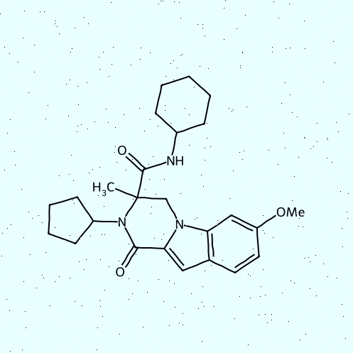 COc1ccc2cc3n(c2c1)CC(C)(C(=O)NC1CCCCC1)N(C1CCCC1)C3=O